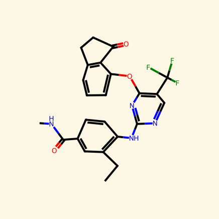 CCc1cc(C(=O)NC)ccc1Nc1ncc(C(F)(F)F)c(Oc2cccc3c2C(=O)CC3)n1